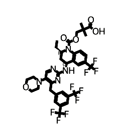 CC[C@@H]1C[C@H](Nc2ncc(N3CCOCC3)c(Cc3cc(C(F)(F)F)cc(C(F)(F)F)c3)n2)c2cc(C(F)(F)F)ccc2N1C(=O)OCC(C)(C)C(=O)O